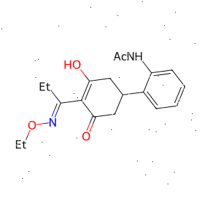 CCON=C(CC)C1=C(O)CC(c2ccccc2NC(C)=O)CC1=O